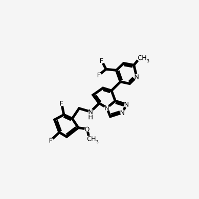 COc1cc(F)cc(F)c1CNc1ccc(-c2cnc(C)cc2C(F)F)c2nncn12